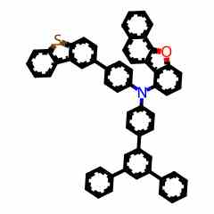 c1ccc(-c2cc(-c3ccccc3)cc(-c3ccc(N(c4ccc(-c5ccc6sc7ccccc7c6c5)cc4)c4cccc5oc6c7ccccc7ccc6c45)cc3)c2)cc1